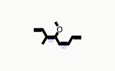 C=C/C=C\C(OC)=C(/C)C=C